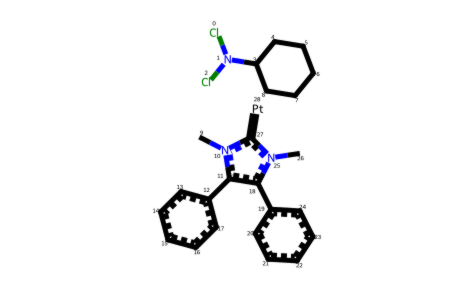 ClN(Cl)C1CCCCC1.Cn1c(-c2ccccc2)c(-c2ccccc2)n(C)[c]1=[Pt]